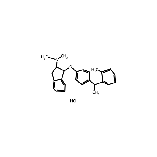 Cc1ccccc1C(C)c1ccc(OC2c3ccccc3CC2N(C)C)cc1.Cl